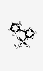 NS(=O)(=O)c1nnsc1-c1ncc[nH]1